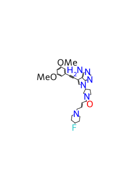 COc1cc(C#Cc2cn([C@H]3CCN(C(=O)C=CCN4CCC(F)CC4)C3)c3ncnc(N)c23)cc(OC)c1